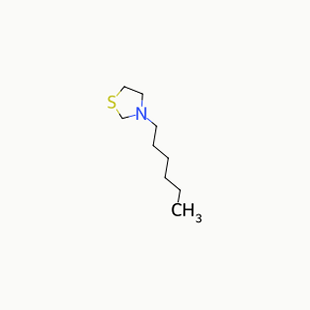 CCCCCCN1CCSC1